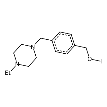 CCN1CCN(Cc2ccc(COI)cc2)CC1